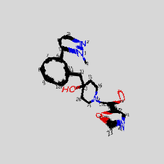 Cn1nccc1-c1ccccc1CC1(O)CCN(C(=O)c2cnco2)CC1